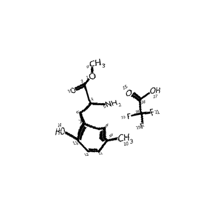 COC(=O)C(N)Cc1cc(C)ccc1O.O=C(O)C(F)(F)F